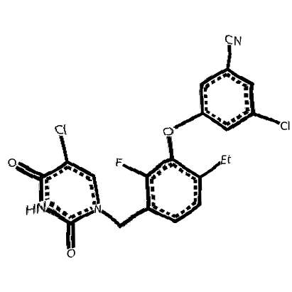 CCc1ccc(Cn2cc(Cl)c(=O)[nH]c2=O)c(F)c1Oc1cc(Cl)cc(C#N)c1